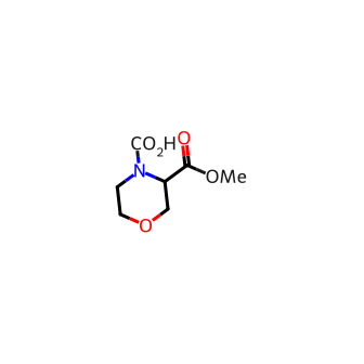 COC(=O)C1COCCN1C(=O)O